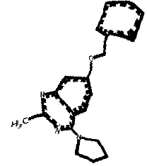 Cc1nc(N2CCCC2)c2ccc(OCc3ccccc3)cc2n1